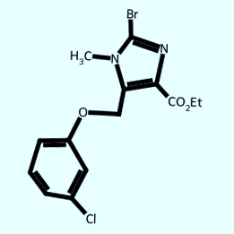 CCOC(=O)c1nc(Br)n(C)c1COc1cccc(Cl)c1